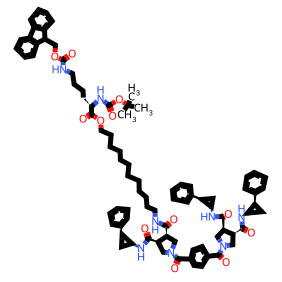 CC(C)(C)OC(=O)N[C@@H](CCCCNC(=O)OCC1c2ccccc2-c2ccccc21)C(=O)OCCCCCCCCCCCCNC(=O)[C@@H]1CN(C(=O)c2ccc(C(=O)N3C[C@@H](C(=O)N[C@H]4C[C@@H]4c4ccccc4)[C@H](C(=O)N[C@H]4C[C@@H]4c4ccccc4)C3)cc2)C[C@H]1C(=O)N[C@H]1C[C@@H]1c1ccccc1